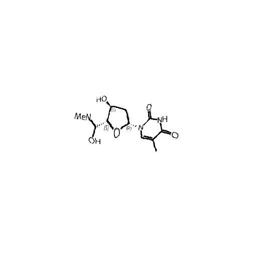 CNC(O)[C@H]1O[C@@H](n2cc(C)c(=O)[nH]c2=O)C[C@@H]1O